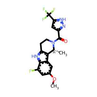 COc1cc(F)c2[nH]c3c(c2c1)[C@@H](C)N(C(=O)c1cc(C(F)(F)F)[nH]n1)CC3